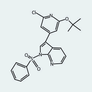 CC(C)(C)Oc1cc(-c2cn(S(=O)(=O)c3ccccc3)c3ncccc23)cc(Cl)n1